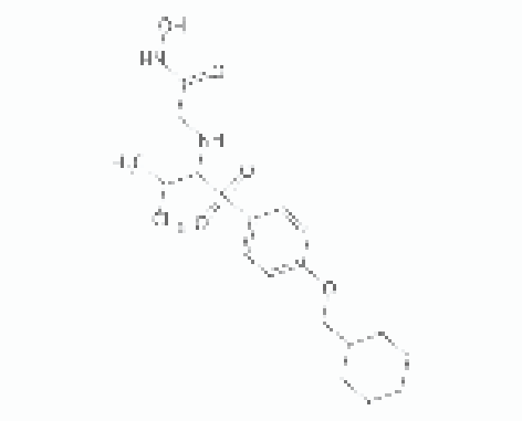 CC(C)C(NCC(=O)NO)S(=O)(=O)c1ccc(OCC2CCCCC2)cc1